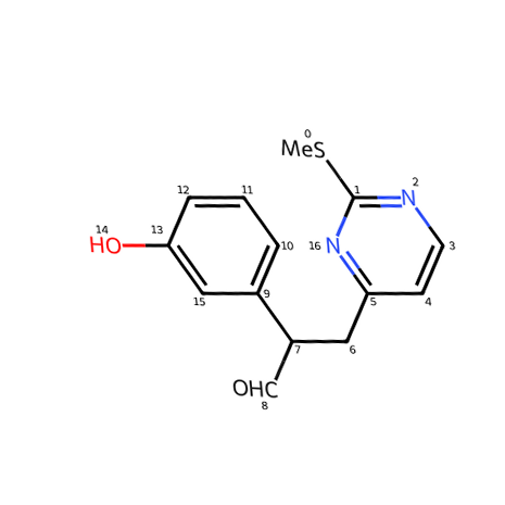 CSc1nccc(CC(C=O)c2cccc(O)c2)n1